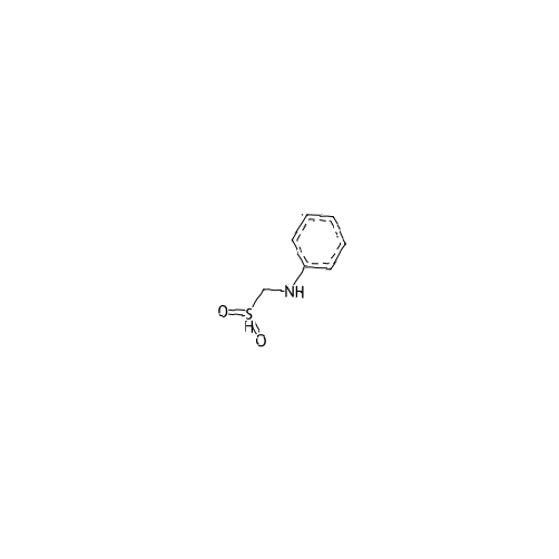 O=[SH](=O)CNc1c[c]ccc1